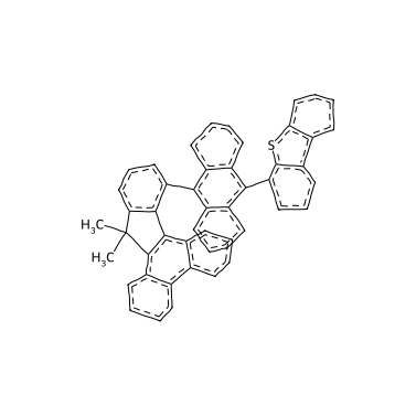 CC1(C)c2cccc(-c3c4ccccc4c(-c4cccc5c4sc4ccccc45)c4ccccc34)c2-c2c1c1ccccc1c1ccccc21